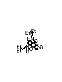 CCN(CC)CCNc1ccc(NCCN(CC)CC)c2c1C(=O)c1cc[n+]([O-])cc1C2=O